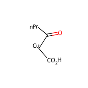 CCCC(=O)CC(=O)O.[Cu]